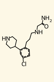 NC(=O)CNCCCc1ccc(Cl)cc1C1CCNCC1